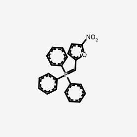 O=[N+]([O-])c1ccc(C=P(c2ccccc2)(c2ccccc2)c2ccccc2)o1